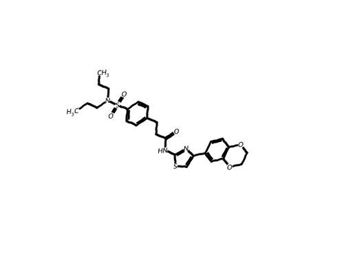 CCCN(CCC)S(=O)(=O)c1ccc(CCC(=O)Nc2nc(-c3ccc4c(c3)OCCO4)cs2)cc1